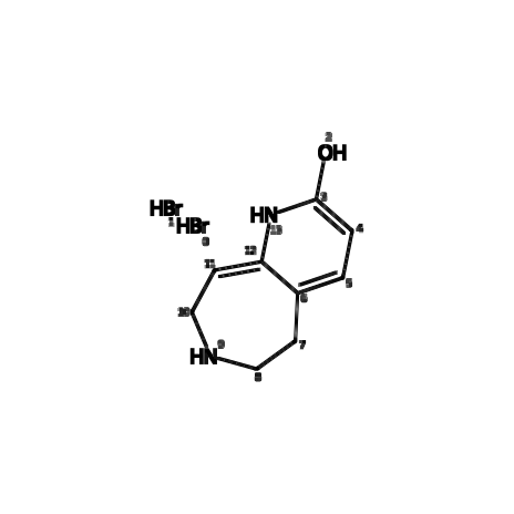 Br.Br.OC1=CC=C2CCNCC=C2N1